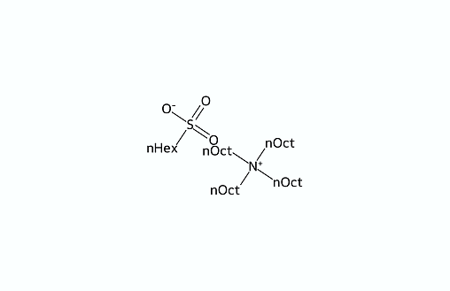 CCCCCCCC[N+](CCCCCCCC)(CCCCCCCC)CCCCCCCC.CCCCCCS(=O)(=O)[O-]